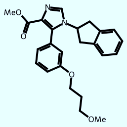 COCCCOc1cccc(-c2c(C(=O)OC)ncn2C2Cc3ccccc3C2)c1